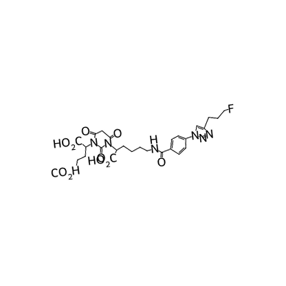 O=C(O)CCC(C(=O)O)N1C(=O)CC(=O)N(C(CCCCNC(=O)c2ccc(-n3cc(CCCF)nn3)cc2)C(=O)O)C1=O